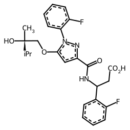 CC(C)[C@](C)(O)COc1cc(C(=O)NC(CC(=O)O)c2ccccc2F)nn1-c1ccccc1F